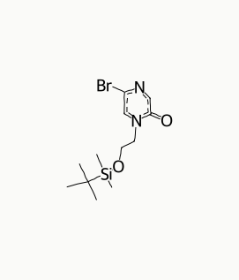 CC(C)(C)[Si](C)(C)OCCn1cc(Br)ncc1=O